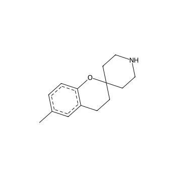 Cc1ccc2c(c1)CCC1(CCNCC1)O2